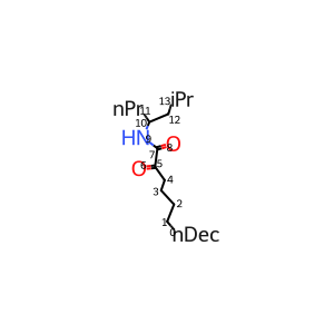 CCCCCCCCCCCCCCC(=O)C(=O)NC(CCC)CC(C)C